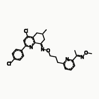 CO/N=C(\C)c1cccc(CCCO/N=C2\CC(C)Cc3c(Cl)cc(-c4ccc(Cl)cc4)nc32)n1